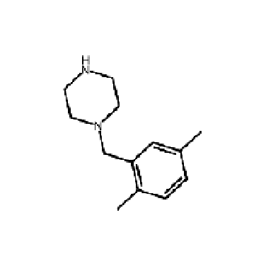 Cc1ccc(C)c(CN2CCNCC2)c1